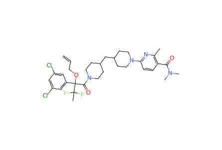 C=CCOC(C(=O)N1CCC(CC2CCN(c3ccc(C(=O)N(C)C)c(C)n3)CC2)CC1)(c1cc(Cl)cc(Cl)c1)C(C)(F)F